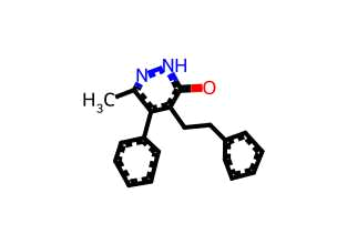 Cc1n[nH]c(=O)c(CCc2ccccc2)c1-c1ccccc1